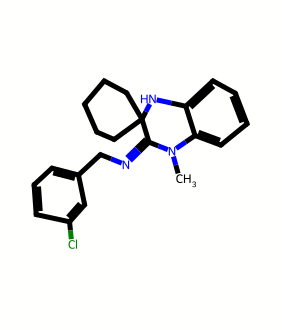 CN1/C(=N/Cc2cccc(Cl)c2)C2(CCCCC2)Nc2ccccc21